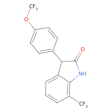 O=C1Nc2c(cccc2C(F)(F)F)C1c1ccc(OC(F)(F)F)cc1